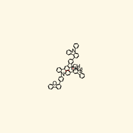 CC1(C)c2ccc(-c3ccccc3N(c3ccc(-c4ccc5sc6ccccc6c5c4)cc3)c3ccc(-c4cccc5c4oc4ccccc45)cc3)cc2-c2ccc(-c3cccc4c3c3ccccc3n4-c3ccccc3)cc21